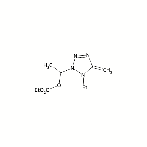 C=C1N=NN(C(C)OC(=O)OCC)N1CC